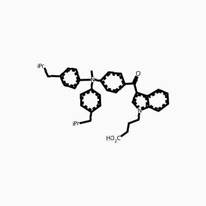 CC(C)Cc1ccc([N+](C)(c2ccc(CC(C)C)cc2)c2ccc(C(=O)c3cn(CCCC(=O)O)c4ccccc34)cc2)cc1